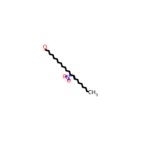 CCCCCCC/C=C/C(CCCCCCCCCCC[C]=O)[N+](=O)[O-]